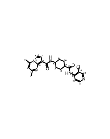 Cc1cc(C)n2ncc(C(=O)NC3CCC(C(=O)Nc4ccncc4Cl)CC3)c2n1